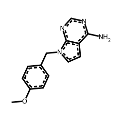 COc1ccc(Cn2ccc3c(N)ncnc32)cc1